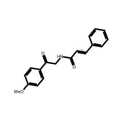 COc1ccc(C(=O)CNC(=O)/C=C/c2ccccc2)cc1